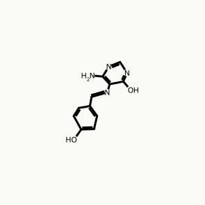 Nc1ncnc(O)c1/N=C/c1ccc(O)cc1